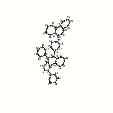 c1ccc(-c2cnn3c(-c4ccccc4)c(-c4ccc(-c5cc6ccccc6c6ccccc56)cc4)c4ccccc4c23)cc1